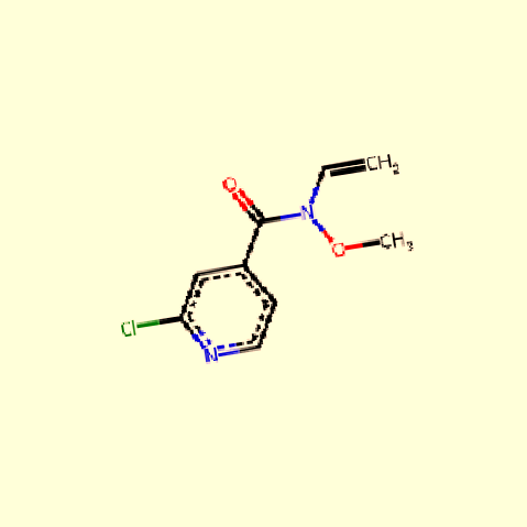 C=CN(OC)C(=O)c1ccnc(Cl)c1